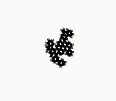 Cc1cc2c(cc1N(c1cccc(-c3ccccc3)c1)c1ccc3ccc4c(N(c5cccc(-c6ccccc6)c5)c5cc6c(cc5C)C(C)(C)c5ccccc5-6)ccc5ccc1c3c54)-c1ccccc1C2(C)C